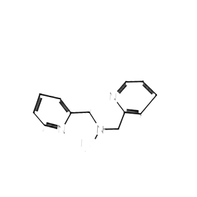 [CH2]N(Cc1ccccn1)Cc1ccccn1